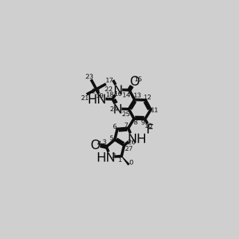 C[C@H]1NC(=O)c2cc(-c3c(F)ccc4c(=O)n(C)c(NC(C)(C)C)nc34)[nH]c21